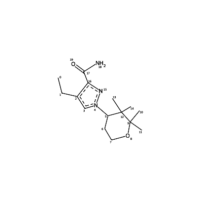 CCc1cn(C2CCOC(C)(C)C2(C)C)nc1C(N)=O